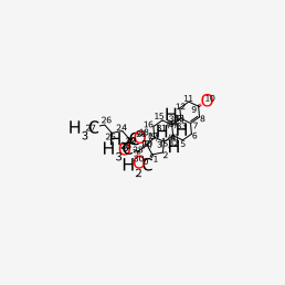 C=C1C[C@H]2[C@@H]3CCC4=CC(=O)CC[C@@H]4[C@H]3CC[C@]2(CC)[C@@]1(OC(=O)CCCC)C(C)=O